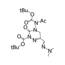 CC(=O)N(C(=O)OC(C)(C)C)N1CC(/C=N/N(C)C)=NN(C(=O)OC(C)(C)C)C1=O